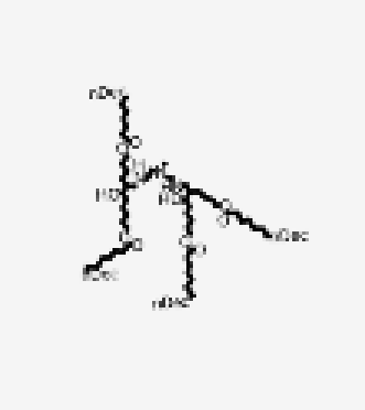 CCCCCCCCCCCCCCCCC(=O)OCCCCCC(O)C(CCCCOC(=O)CCCCCCCCCCCCCCCC)CNCCN(C)CCNCC(CCCCOC(=O)CCCCCCCCCCCCCCCC)C(O)CCCCCOC(=O)CCCCCCCCCCCCCCCC